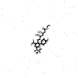 CCOC(=O)CC(O)CC(O)C=Cc1c(-c2ccc(F)cc2)nc(N(C)S(C)(=O)=O)nc1C(C)C